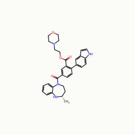 C[C@H]1CCN(C(=O)c2ccc(-c3ccc4[nH]ccc4c3)c(C(=O)OCCN3CCOCC3)c2)c2ccccc2N1